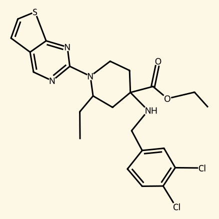 CCOC(=O)C1(NCc2ccc(Cl)c(Cl)c2)CCN(c2ncc3ccsc3n2)C(CC)C1